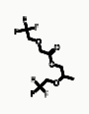 CC(COC(=O)COCC(F)(F)F)OCC(F)(F)F